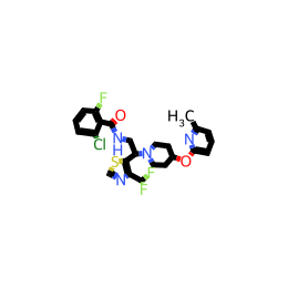 Cc1cccc(OC2CCN(C(CNC(=O)c3c(F)cccc3Cl)c3scnc3C(F)F)CC2)n1